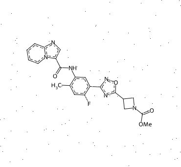 COC(=O)N1CC(c2nc(-c3cc(NC(=O)c4cnc5ccccn45)c(C)cc3F)no2)C1